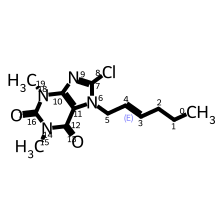 CCC/C=C/Cn1c(Cl)nc2c1c(=O)n(C)c(=O)n2C